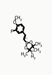 COc1ccc(/C=C/B2OC(C)(C)C(C)(C)O2)cc1F